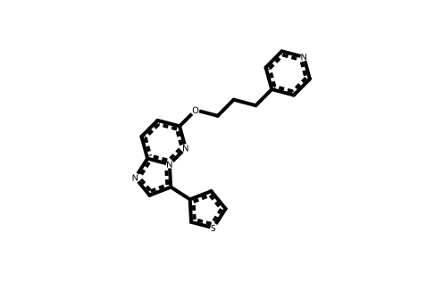 c1cc(CCCOc2ccc3ncc(-c4ccsc4)n3n2)ccn1